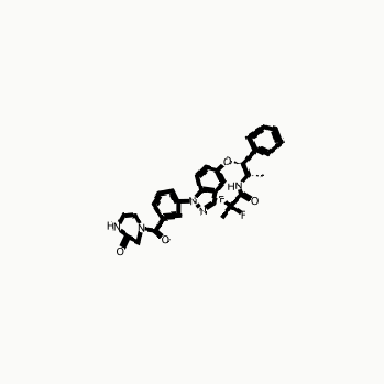 C[C@H](NC(=O)C(C)(F)F)[C@H](Oc1ccc2c(cnn2-c2cccc(C(=O)N3CCNC(=O)C3)c2)c1)c1ccccc1